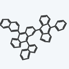 c1ccc(-c2c3ccccc3c(-c3ccc4c(-c5ccc6ccccc6c5)c5ccccc5c(-c5cccc6ccccc56)c4c3)c3ccccc23)cc1